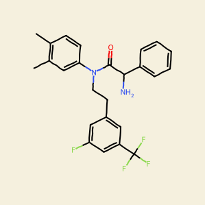 Cc1ccc(N(CCc2cc(F)cc(C(F)(F)F)c2)C(=O)C(N)c2ccccc2)cc1C